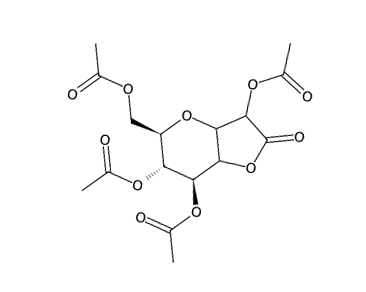 CC(=O)OC[C@H]1OC2C(OC(C)=O)C(=O)OC2[C@@H](OC(C)=O)[C@@H]1OC(C)=O